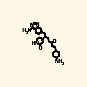 Nc1ncnc2cc(CC(CCC(=O)C=CC3CCC(N)CC3)N3CCNC(=O)C3)ccc12